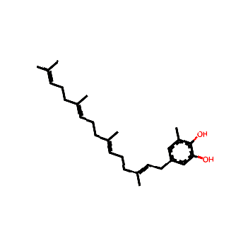 CC(C)=CCC/C(C)=C/CC/C(C)=C/CC/C(C)=C/Cc1cc(C)c(O)c(O)c1